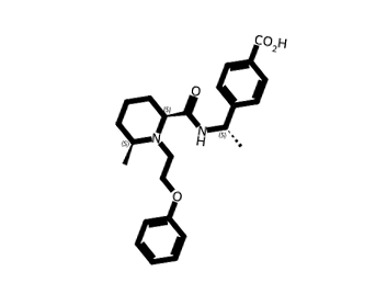 C[C@H](NC(=O)[C@@H]1CCC[C@H](C)N1CCOc1ccccc1)c1ccc(C(=O)O)cc1